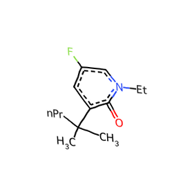 CCCC(C)(C)c1cc(F)cn(CC)c1=O